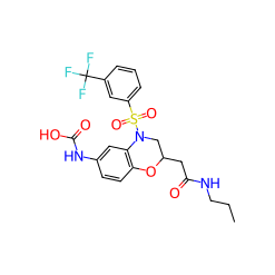 CCCNC(=O)CC1CN(S(=O)(=O)c2cccc(C(F)(F)F)c2)c2cc(NC(=O)O)ccc2O1